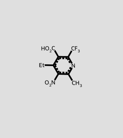 CCc1c(C(=O)O)c(C(F)(F)F)nc(C)c1[N+](=O)[O-]